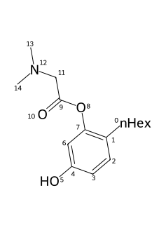 CCCCCCc1ccc(O)cc1OC(=O)CN(C)C